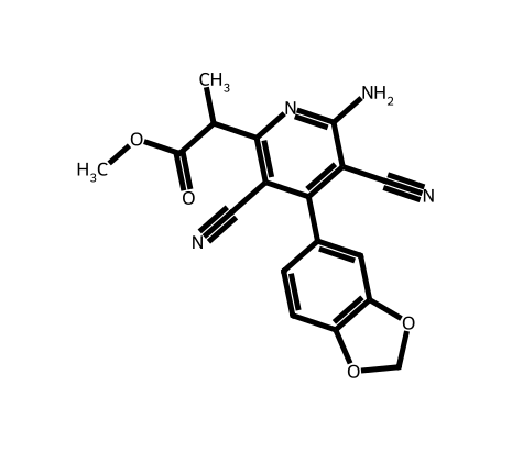 COC(=O)C(C)c1nc(N)c(C#N)c(-c2ccc3c(c2)OCO3)c1C#N